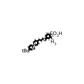 Cc1cc(OCCCC2CCN(c3ccc(C(C)(C)C)cn3)CC2)ccc1C(=O)O